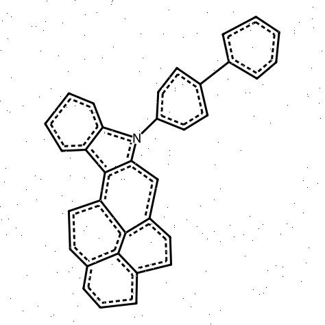 c1ccc(-c2ccc(-n3c4ccccc4c4c5ccc6cccc7ccc(cc43)c5c76)cc2)cc1